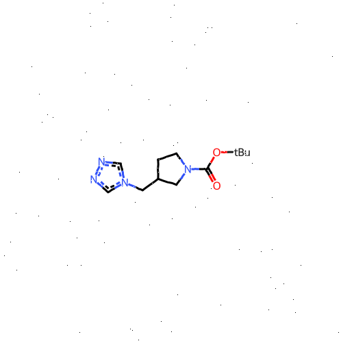 CC(C)(C)OC(=O)N1CCC(Cn2cnnc2)C1